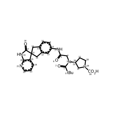 CC(C)(C)C(=O)N(CC(=O)Nc1ccc2c(c1)CC1(C2)C(=O)Nc2ncccc21)[C@H]1CCN(C(=O)O)C1